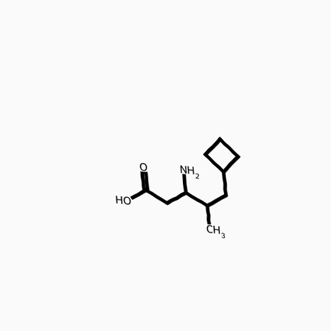 CC(CC1CCC1)C(N)CC(=O)O